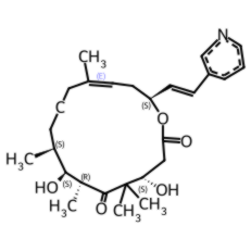 C/C1=C\C[C@@H](C=Cc2cccnc2)OC(=O)C[C@H](O)C(C)(C)C(=O)[C@H](C)[C@@H](O)[C@@H](C)CCC1